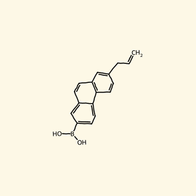 C=CCc1ccc2c(ccc3cc(B(O)O)ccc32)c1